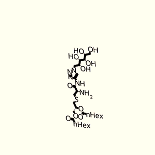 CCCCCCC(=O)OC[C@H](CSC[C@@H](N)C(=O)Nc1cn(C[C@H](O)[C@H](O)[C@H](O)[C@H](O)CO)nn1)OC(=O)CCCCCC